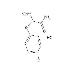 CCCCCC(Oc1ccc(Cl)cc1)C(N)=O.Cl